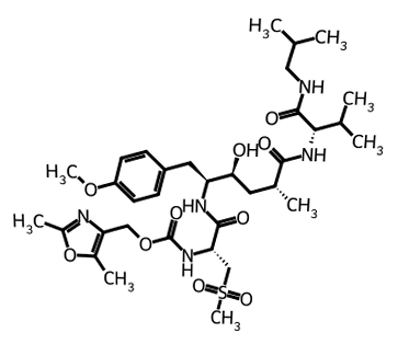 COc1ccc(C[C@H](NC(=O)[C@H](CS(C)(=O)=O)NC(=O)OCc2nc(C)oc2C)[C@@H](O)C[C@@H](C)C(=O)N[C@H](C(=O)NCC(C)C)C(C)C)cc1